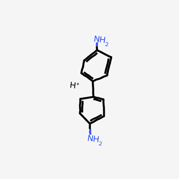 Nc1ccc(-c2ccc(N)cc2)cc1.[H+]